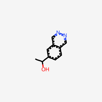 CC(O)c1ccc2cnncc2c1